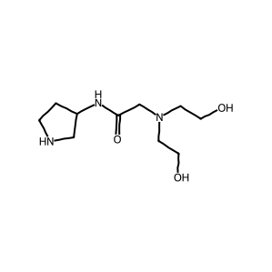 O=C(CN(CCO)CCO)NC1CCNC1